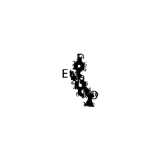 CCN(SC1CC2CCN(C(=O)C3CC3)CC2C=N1)C(C)c1ccc(F)cc1